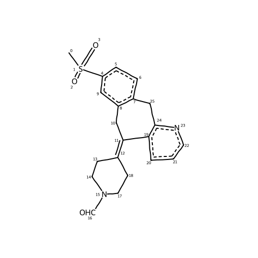 CS(=O)(=O)c1ccc2c(c1)CC(=C1CCN(C=O)CC1)c1cccnc1C2